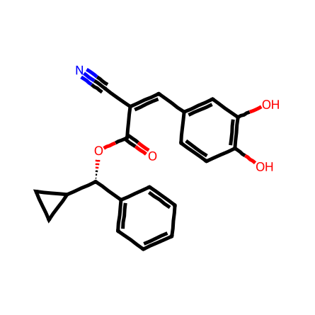 N#C/C(=C/c1ccc(O)c(O)c1)C(=O)O[C@H](c1ccccc1)C1CC1